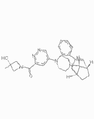 CC1(O)CN(C(=O)c2cc(N3CCN([C@H]4[C@@H]5CC[C@H]4C=C(c4ccccc4)C5)CC3)cnn2)C1